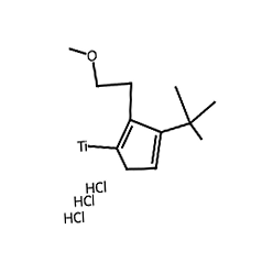 COCCC1=[C]([Ti])CC=C1C(C)(C)C.Cl.Cl.Cl